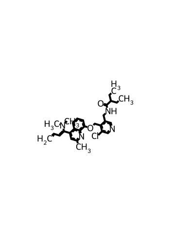 C=C/C=C(/c1cc(C)nc2c(OCc3c(Cl)cncc3CNC(=O)C(CC)CC)cccc12)N(C)C